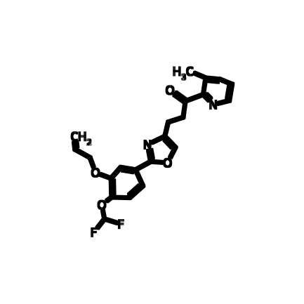 C=CCOc1cc(-c2nc(CCC(=O)c3ncccc3C)co2)ccc1OC(F)F